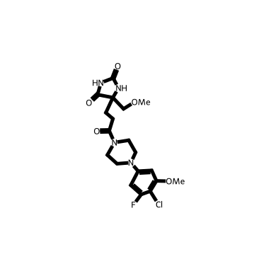 COCC1(CCC(=O)N2CCN(c3cc(F)c(Cl)c(OC)c3)CC2)NC(=O)NC1=O